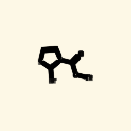 CCOC(=O)N1C=CSC1Br